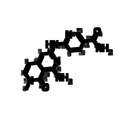 Cn1ccc2cc(Nc3ccc(C(N)=O)cn3)nc(N)c2c1=O